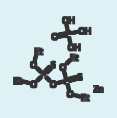 CCOP(=S)(OCC)OP(=S)(OCC)OCC.O=P(O)(O)O.[Zn]